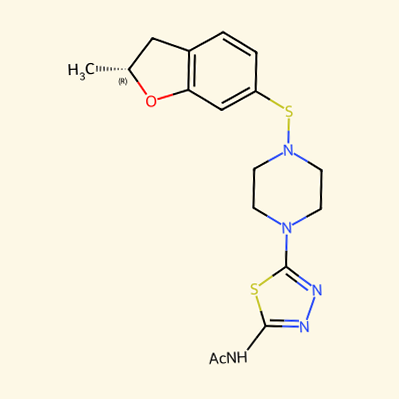 CC(=O)Nc1nnc(N2CCN(Sc3ccc4c(c3)O[C@H](C)C4)CC2)s1